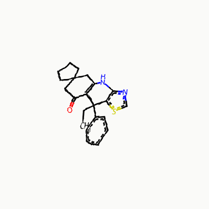 CCC1(c2ccccc2)C2=C(CC3(CCCC3)CC2=O)Nc2ncsc21